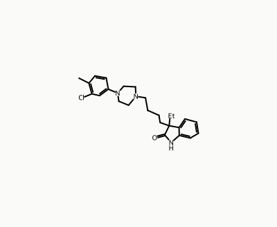 CCC1(CCCCN2CCN(c3ccc(C)c(Cl)c3)CC2)C(=O)Nc2ccccc21